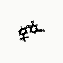 CC(C)(C)c1cccc(Oc2ccc(N)cc2Cl)c1